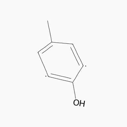 Cc1c[c]c(O)[c]c1